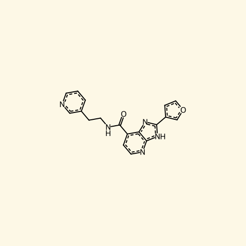 O=C(NCCc1cccnc1)c1ccnc2[nH]c(-c3ccoc3)nc12